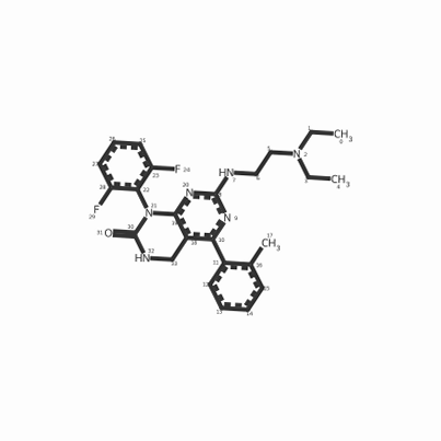 CCN(CC)CCNc1nc(-c2ccccc2C)c2c(n1)N(c1c(F)cccc1F)C(=O)NC2